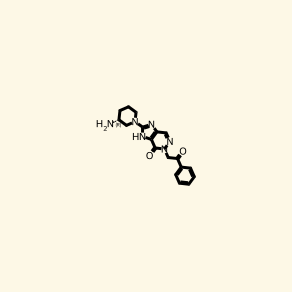 N[C@@H]1CCCN(c2nc3cnn(CC(=O)c4ccccc4)c(=O)c3[nH]2)C1